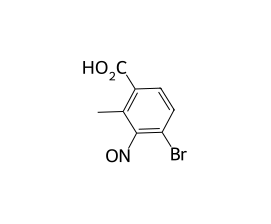 Cc1c(C(=O)O)ccc(Br)c1N=O